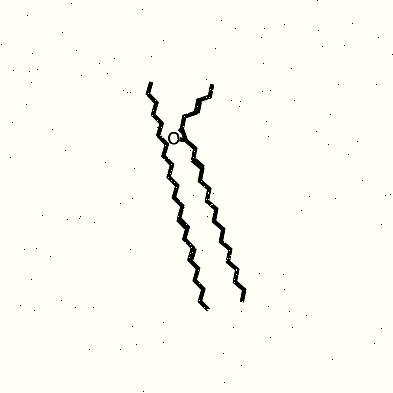 CCC=CCC1OC1CC=CCCCCCCCCCCCCC.CCCCCC=CCC=CCCCCCCCCCCCCC